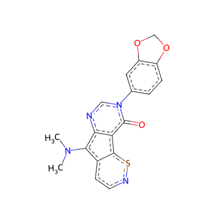 CN(C)c1c2ccnsc-2c2c(=O)n(-c3ccc4c(c3)OCO4)cnc12